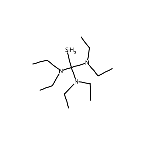 CCN(CC)C([SiH3])(N(CC)CC)N(CC)CC